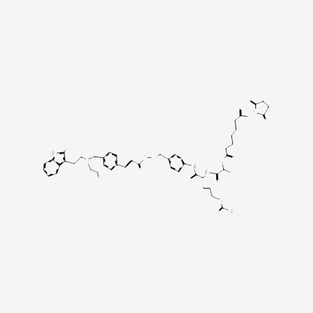 Cc1[nH]c2ccccc2c1CCN(CCO)Cc1ccc(/C=C/C(=O)NOCc2ccc(NC(=O)[C@H](CCCNC(N)=O)NC(=O)C(NC(=O)CCCCCC(=O)ON3C(=O)CCC3=O)C(C)C)cc2)cc1